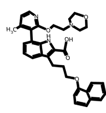 Cc1ccnc(OCCN2CCOCC2)c1-c1cccc2c(CCCOc3cccc4ccccc34)c(C(=O)O)[nH]c12